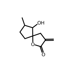 C=C1CC2(CCC(C)C2O)OC1=O